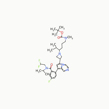 CC(C)C(CCCN(C)C(=O)OC(C)(C)C)N1CC(c2cc(-c3ccc(F)cc3C(=O)N(CC(F)F)C(C)C)c3cnccn23)C1